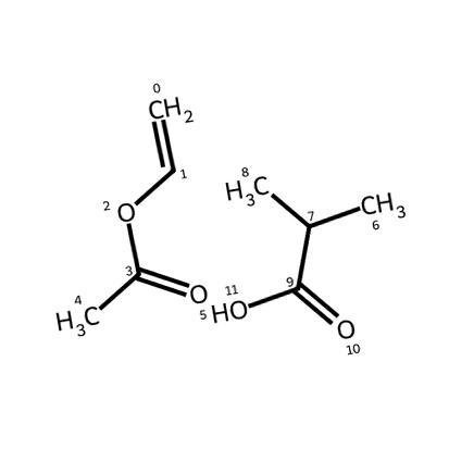 C=COC(C)=O.CC(C)C(=O)O